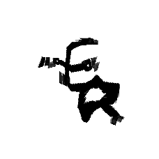 CC(C)(C)CC(C)(C)Nc1ccc(F)cc1